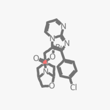 CC(C)(C)OC(=O)N1C2COC1CN(Cc1c(-c3ccc(Cl)cc3)nc3ncccn13)C2